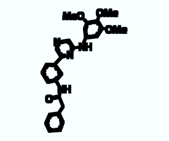 COc1cc(Nc2cncc(-c3cccc(NC(=O)Cc4ccccc4)c3)n2)cc(OC)c1OC